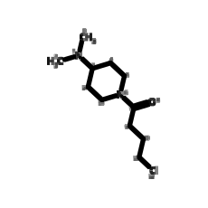 CN(C)C1CCN(C(=O)CCCCl)CC1